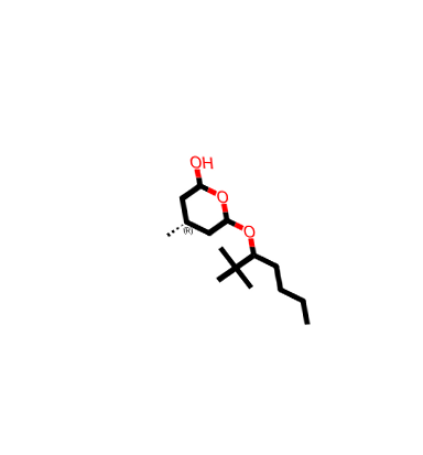 CCCCC(OC1C[C@H](C)CC(O)O1)C(C)(C)C